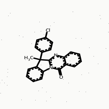 CC1(c2ccc(Cl)cc2)c2ccccc2-n2c1nc1ccccc1c2=O